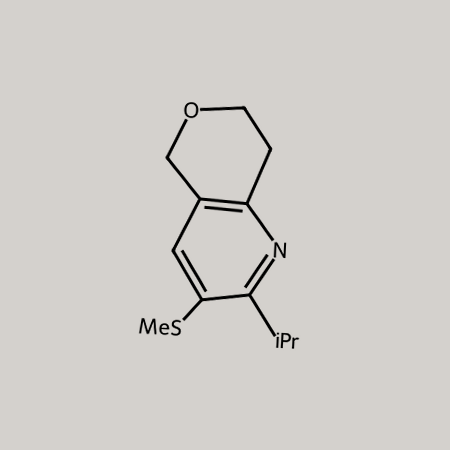 CSc1cc2c(nc1C(C)C)CCOC2